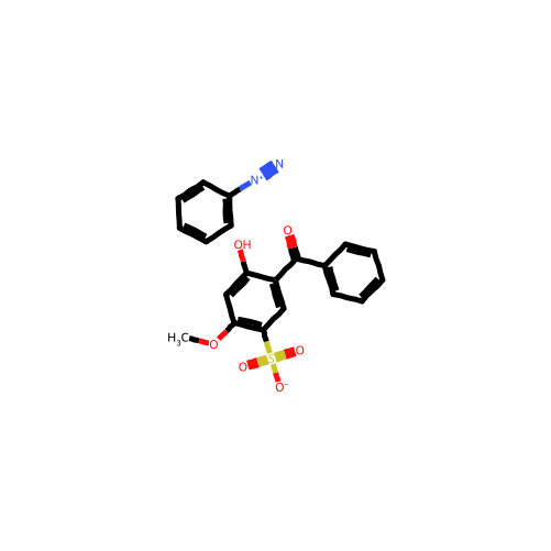 COc1cc(O)c(C(=O)c2ccccc2)cc1S(=O)(=O)[O-].N#[N+]c1ccccc1